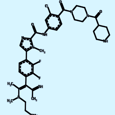 COCCN(C)/C(C)=C(\C(C)=N)c1ccc(-c2cnc(C(=O)Nc3ccc(C(=O)N4CCN(C(=O)C5CCNCC5)CC4)c(Cl)c3)n2C)c(F)c1F